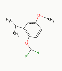 COc1ccc(OC(F)F)c([C](C)C)c1